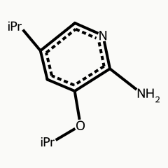 CC(C)Oc1cc(C(C)C)cnc1N